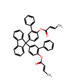 CC=CC(=O)Oc1ccc(C2(c3ccc(OC(=O)C=CC)c(-c4ccccc4)c3)c3ccccc3-c3ccccc32)cc1-c1ccccc1